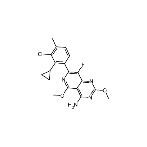 COc1nc(N)c2c(OC)nc(-c3ccc(C)c(Cl)c3C3CC3)c(F)c2n1